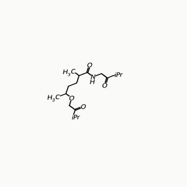 CC(CCC(C)C(=O)NCC(=O)C(C)C)OCC(=O)C(C)C